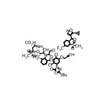 C#CCOc1cc(-n2nc(C(C)(C)C)oc2=O)c(Cl)cc1Cl.CCc1cccc(C)c1N(C(=O)CCl)C(C)COC.CP(=O)(O)CCC(N)C(=O)O.CS(=O)(=O)c1cc(C(F)(F)F)ccc1C(=O)c1cnoc1C1CC1